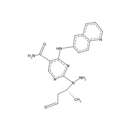 C[C@H](CC=O)N(N)c1ncc(C(N)=O)c(Nc2ccc3ncccc3c2)n1